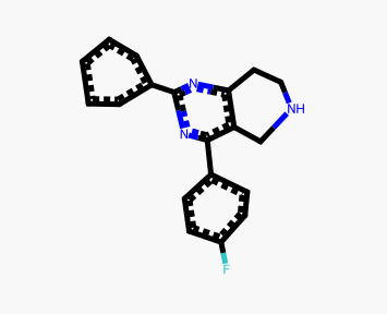 Fc1ccc(-c2nc(-c3ccccc3)nc3c2CNCC3)cc1